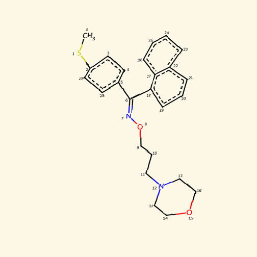 CSc1ccc(/C(=N/OCCCN2CCOCC2)c2cccc3ccccc23)cc1